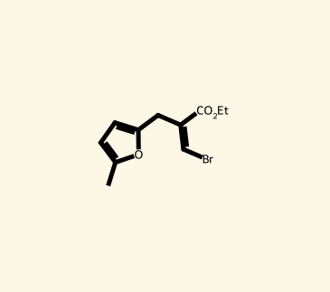 CCOC(=O)C(=CBr)Cc1ccc(C)o1